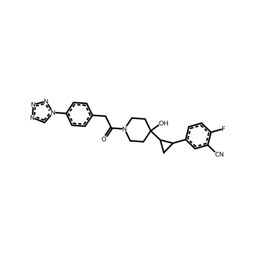 N#Cc1cc(C2CC2C2(O)CCN(C(=O)Cc3ccc(-n4cnnn4)cc3)CC2)ccc1F